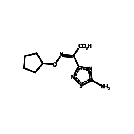 Nc1nc(/C(=N\OC2CCCC2)C(=O)O)ns1